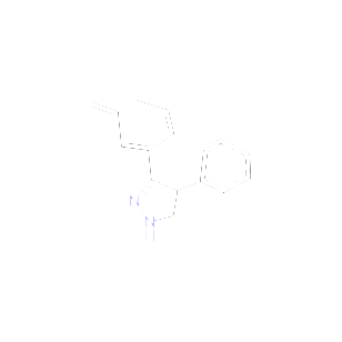 C=C/C=C(\C=C/C)C1=NNCC1c1ccccc1